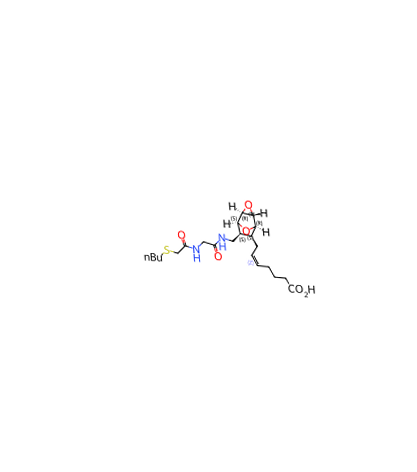 CCCCSCC(=O)NCC(=O)NC[C@@H]1[C@H](C/C=C\CCCC(=O)O)[C@H]2O[C@@H]1[C@H]1O[C@@H]12